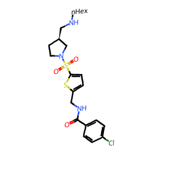 CCCCCCNC[C@@H]1CCN(S(=O)(=O)c2ccc(CNC(=O)c3ccc(Cl)cc3)s2)C1